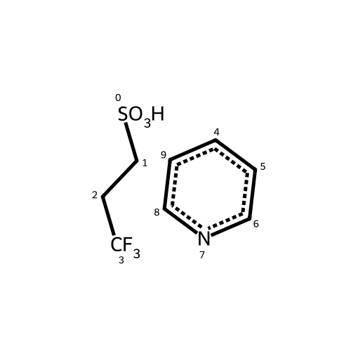 O=S(=O)(O)CCC(F)(F)F.c1ccncc1